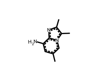 Cc1cc(N)c2nc(C)c(C)n2c1